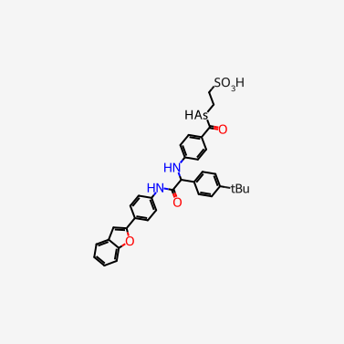 CC(C)(C)c1ccc(C(Nc2ccc(C(=O)[AsH]CCS(=O)(=O)O)cc2)C(=O)Nc2ccc(-c3cc4ccccc4o3)cc2)cc1